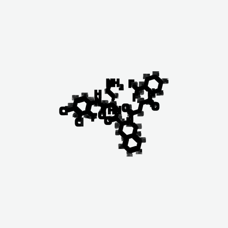 NCC[C@H](NC(=O)[C@@H]1Cc2ccccc2CN1C(=O)CCC(=O)N1CCCCC1C(F)F)C(=O)Nc1ccc(Cl)c(Cl)c1F